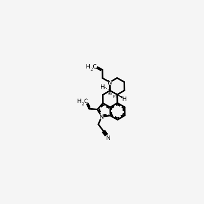 C=CCN1CCC[C@@H]2c3cccc4c3c(c(C=C)n4CC#N)C[C@H]21